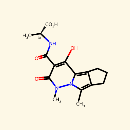 Cc1c2c(c3c(O)c(C(=O)N[C@@H](C)C(=O)O)c(=O)n(C)n13)CCC2